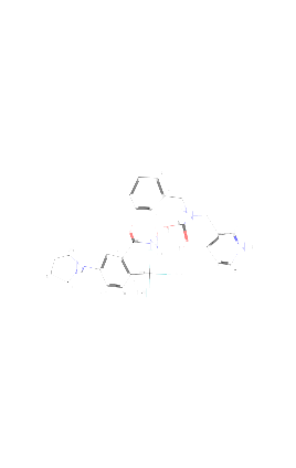 O=C(NOC(=O)N(Cc1ccccc1)Cc1cccnc1)c1cc(N2CCCC2)ccc1C(F)(F)F